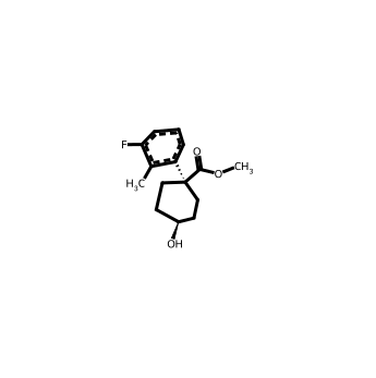 COC(=O)[C@]1(c2cccc(F)c2C)CC[C@H](O)CC1